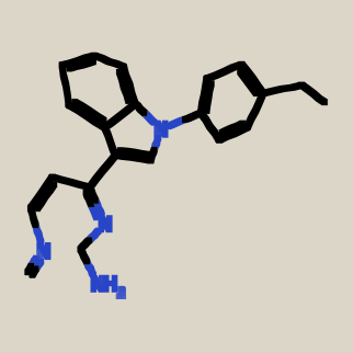 C=N/C=C\C(=N/CN)c1cn(-c2ccc(CC)cc2)c2ccccc12